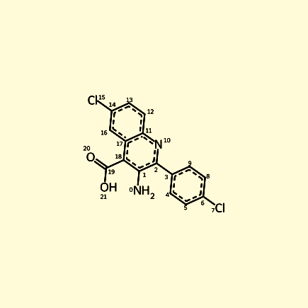 Nc1c(-c2ccc(Cl)cc2)nc2ccc(Cl)cc2c1C(=O)O